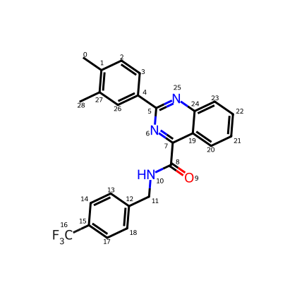 Cc1ccc(-c2nc(C(=O)NCc3ccc(C(F)(F)F)cc3)c3ccccc3n2)cc1C